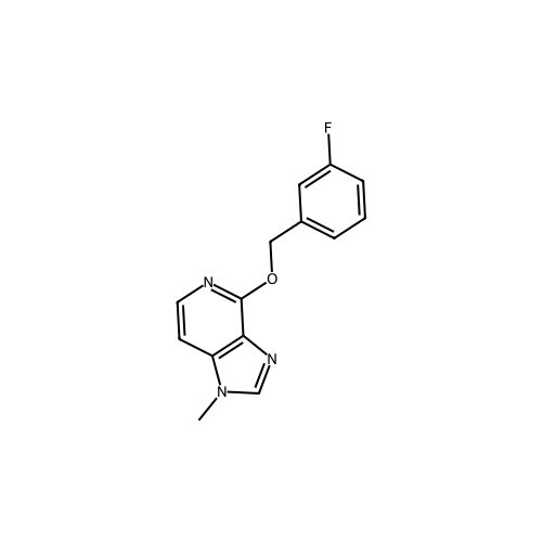 Cn1cnc2c(OCc3cccc(F)c3)nccc21